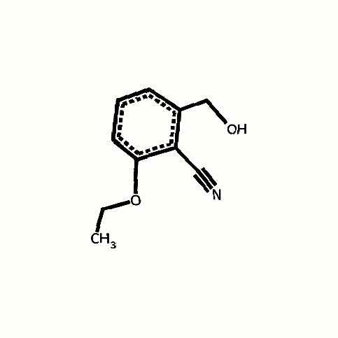 CCOc1cccc(CO)c1C#N